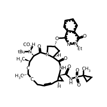 CCn1nc(O[C@@H]2C[C@H]3C(=O)N[C@]4(C(=O)NS(=O)(=O)C5(C)CC5)C[C@H]4/C=C\CC[C@H](C)C[C@@H](C)[C@H](N(C(=O)O)C(C)(C)C)C(=O)N3C2)c2ccccc2c1=O